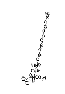 [N-]=[N+]=NCCOCCOCCOCCOCCOCCOCCOCCOCCOCCC(=O)NCCNC(=O)CC[C@H](NC(=O)OCC1c2ccccc2-c2ccccc21)C(=O)O